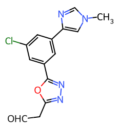 Cn1cnc(-c2cc(Cl)cc(-c3nnc(CC=O)o3)c2)c1